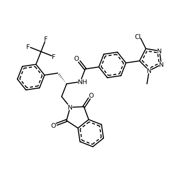 Cn1nnc(Cl)c1-c1ccc(C(=O)N[C@@H](Cc2ccccc2C(F)(F)F)CN2C(=O)c3ccccc3C2=O)cc1